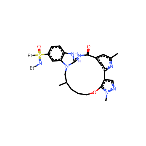 CCN=S(=O)(CC)c1ccc2c(c1)N1CC(C)CCCOc3c(cnn3C)-c3cc(cc(C)n3)C(=O)/N=C/1N2